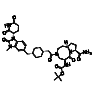 Cn1c(=O)n([C@H]2CCC(=O)NC2=O)c2ccc(C[C@H]3CC[C@@H](CC(=O)N4CC[C@H]5CC[C@@H](C(N)=O)N5C(=O)[C@@H](NC(=O)OC(C)(C)C)C4)CC3)cc21